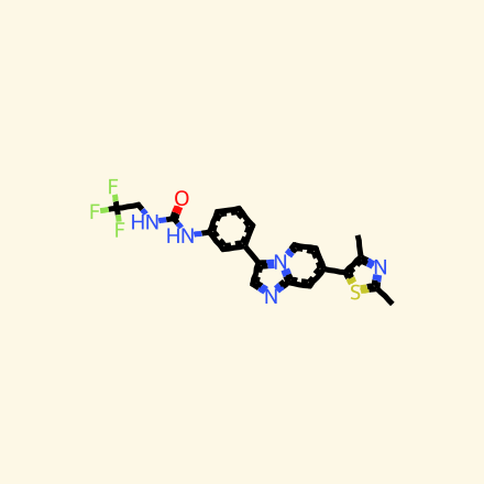 Cc1nc(C)c(-c2ccn3c(-c4cccc(NC(=O)NCC(F)(F)F)c4)cnc3c2)s1